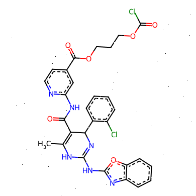 CC1=C(C(=O)Nc2cc(C(=O)OCCCOC(=O)Cl)ccn2)C(c2ccccc2Cl)N=C(Nc2nc3ccccc3o2)N1